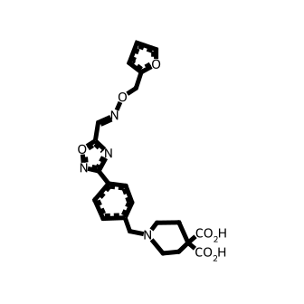 O=C(O)C1(C(=O)O)CCN(Cc2ccc(-c3noc(C=NOCc4ccco4)n3)cc2)CC1